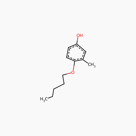 CCCCCOc1ccc(O)cc1C